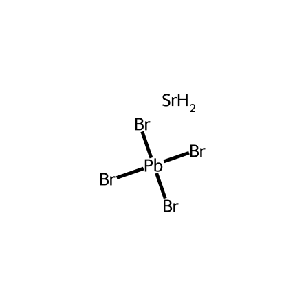 [Br][Pb]([Br])([Br])[Br].[SrH2]